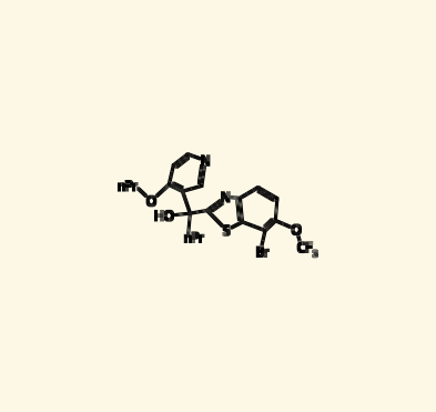 CCCOc1ccncc1C(O)(CCC)c1nc2ccc(OC(F)(F)F)c(Br)c2s1